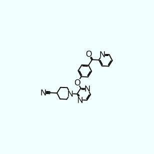 N#CC1CCN(c2nccnc2Oc2ccc(C(=O)c3ccccn3)cc2)CC1